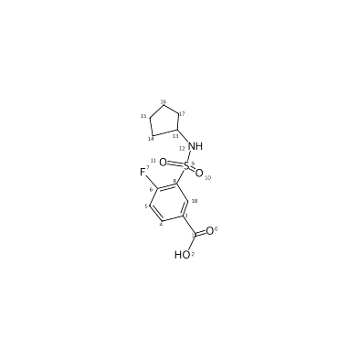 O=C(O)c1ccc(F)c(S(=O)(=O)NC2CCCC2)c1